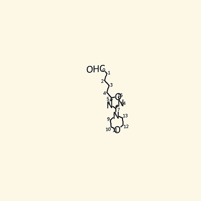 O=CCCCCc1nc(N2CCOCC2)no1